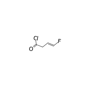 O=C(Cl)CC=CF